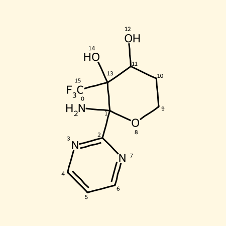 NC1(c2ncccn2)OCCC(O)C1(O)C(F)(F)F